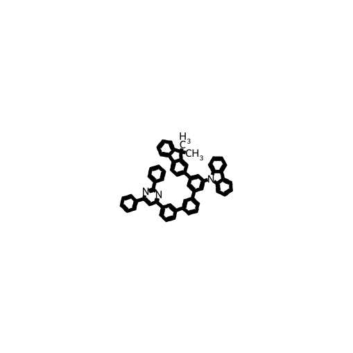 CC1(C)c2ccccc2-c2ccc(-c3cc(-c4cccc(-c5cccc(-c6cc(-c7ccccc7)nc(-c7ccccc7)n6)c5)c4)cc(-n4c5ccccc5c5ccccc54)c3)cc21